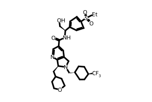 CCS(=O)(=O)c1ccc([C@H](CO)NC(=O)c2cnc3c(c2)CN(C[C@H]2CC[C@H](C(F)(F)F)CC2)[C@H]3CC2CCOCC2)cc1